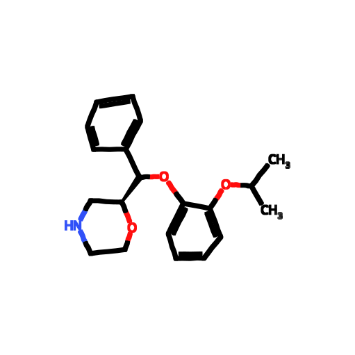 CC(C)Oc1ccccc1OC(c1ccccc1)[C@@H]1CNCCO1